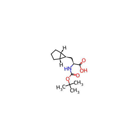 CC(C)(C)OC(=O)N[C@@H](C[C@H]1[C@@H]2CCC[C@@H]21)C(=O)O